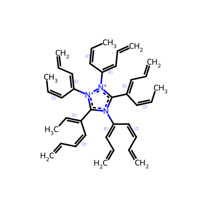 C=C/C=C\C(=C/C)c1n(C(/C=C\C=C)=C/C=C)c(C(/C=C\C)=C/C=C)[n+](C(/C=C\C)=C/C=C)[n+]1C(/C=C\C)=C/C=C